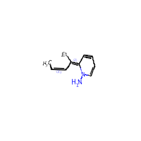 C/C=C\C(CC)=C1\C=CC=CN1N